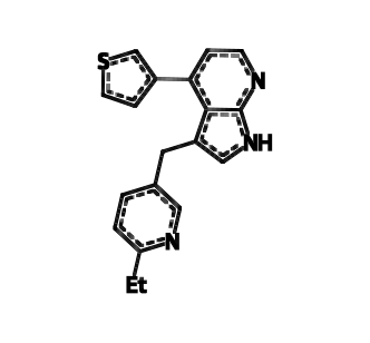 CCc1ccc(Cc2c[nH]c3nccc(-c4ccsc4)c23)cn1